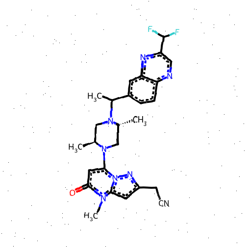 CC(c1ccc2ncc(C(F)F)nc2c1)N1C[C@H](C)N(c2cc(=O)n(C)c3cc(CC#N)nn23)C[C@H]1C